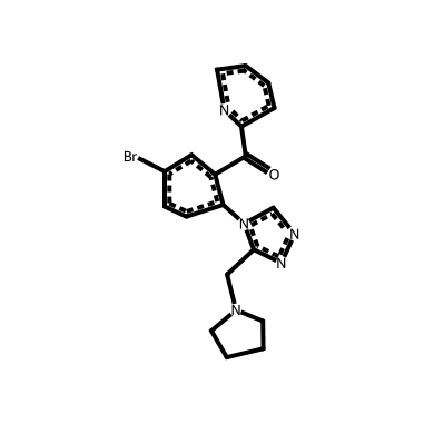 O=C(c1ccccn1)c1cc(Br)ccc1-n1cnnc1CN1CCCC1